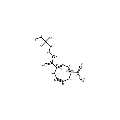 CCC(C)(C)CCOC(=O)/C1=C/C=C(/C(=O)O)CC#CC1